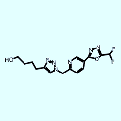 OCCCCc1cn(Cc2ccc(-c3nnc(C(F)F)o3)cn2)nn1